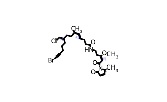 CO/C(=C/C(=O)N1C(=O)C=C[C@@H]1C)CCNC(=O)CC/C=C/C(C)CC/C(=C/Cl)CCCC#CBr